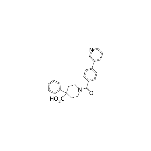 O=C(c1ccc(-c2cccnc2)cc1)N1CCC(C(=O)O)(c2ccccc2)CC1